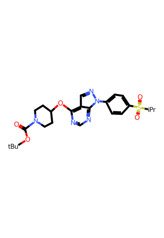 CC(C)S(=O)(=O)c1ccc(-n2ncc3c(OC4CCN(C(=O)OC(C)(C)C)CC4)ncnc32)cc1